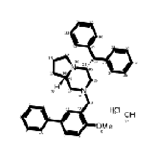 COc1ccc(-c2ccccc2)cc1CN1C[C@@H]2CCCN2[C@H](C(c2ccccc2)c2ccccc2)C1.Cl.Cl